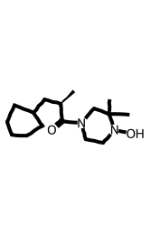 C[C@H](CC1CCCCC1)C(=O)N1CCN(O)C(C)(C)C1